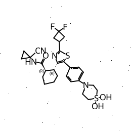 N#CC1(NC(=O)[C@@H]2CCCC[C@H]2c2nc(C3CC(F)(F)C3)sc2-c2ccc(N3CCS(O)(O)CC3)cc2)CC1